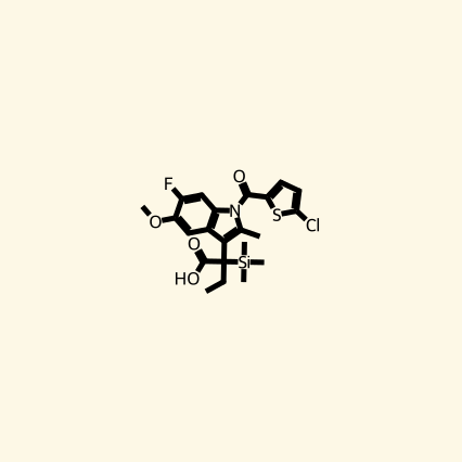 CCC(C(=O)O)(c1c(C)n(C(=O)c2ccc(Cl)s2)c2cc(F)c(OC)cc12)[Si](C)(C)C